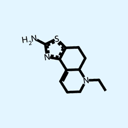 CCN1CCC=C2c3nc(N)sc3CCC21